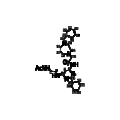 CC(=O)NCCNc1cc(NC(=O)CN2CCCN(Cc3ccccc3)CC2)nc(-c2ccccc2)n1